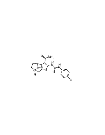 CN1C2CC[C@@H]1Cc1sc(NC(=O)Nc3ccc(Cl)cc3)c(C(N)=O)c12